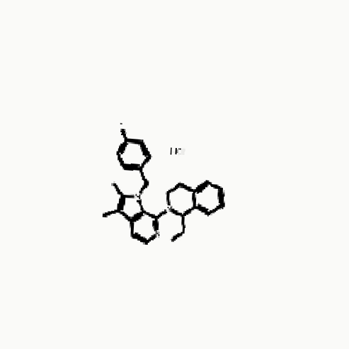 CCC1c2ccccc2CCN1c1nccc2c(C)c(C)n(Cc3ccc(F)cc3)c12.Cl